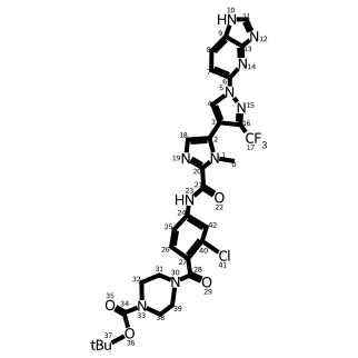 Cn1c(-c2cn(-c3ccc4[nH]cnc4n3)nc2C(F)(F)F)cnc1C(=O)Nc1ccc(C(=O)N2CCN(C(=O)OC(C)(C)C)CC2)c(Cl)c1